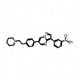 CC(C)[S+]([O-])c1cccc(-c2cnn3cc(-c4ccc(CCN5CCCCC5)cc4)cnc23)c1